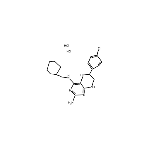 Cl.Cl.Nc1nc(NCC2CCCCC2)c2c(n1)NCC(c1ccc(Cl)cc1)N2